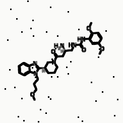 COCCCn1c([C@@H]2CCCN(C(=O)C[C@H](N)CNC(=O)Nc3cc(OC)ccc3OC)C2)nc2ccccc21